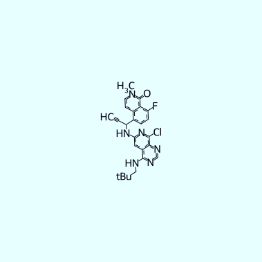 C#CC(Nc1cc2c(NCC(C)(C)C)ncnc2c(Cl)n1)c1ccc(F)c2c(=O)n(C)ccc12